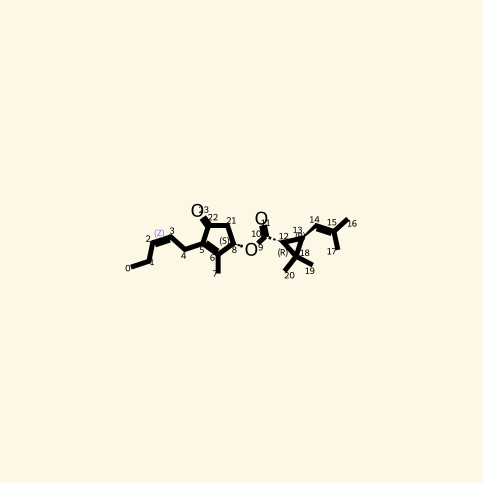 CC/C=C\CC1=C(C)[C@@H](OC(=O)[C@@H]2[C@@H](C=C(C)C)C2(C)C)CC1=O